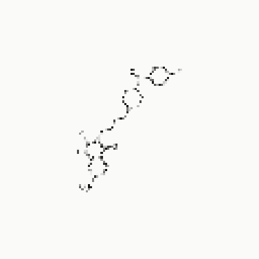 O=C(c1ccc(F)cc1)C1CCN(CCCCn2c(=S)[nH]c3cc([N+](=O)[O-])ccc3c2=O)CC1